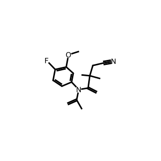 C=C(C)N(C(=C)C(C)(C)CC#N)c1ccc(F)c(OC)c1